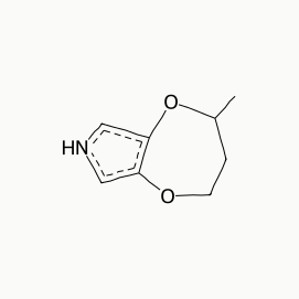 CC1CCOc2c[nH]cc2O1